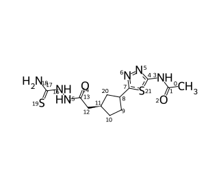 CC(=O)Nc1nnc(C2CC[C@@H](CC(=O)NNC(N)=S)C2)s1